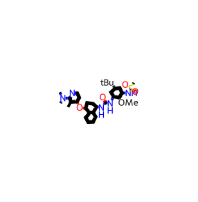 COc1c(NC(=O)Nc2ccc(Oc3ccnc(N(C)C)c3C)c3ccccc23)cc(C(C)(C)C)cc1NS(C)(=O)=O